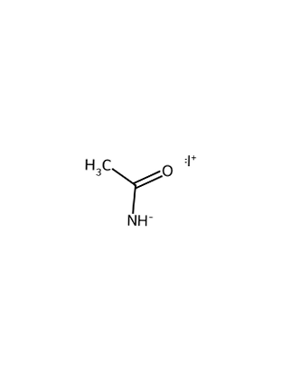 CC([NH-])=O.[I+]